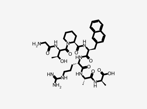 C[C@H](NC(=O)[C@H](CCCNC(=N)N)NC(=O)[C@H](Cc1ccc2ccccc2c1)NC(=O)[C@@H]1CCCCN1C(=O)[C@H](NC(=O)CN)[C@H](C)O)C(=O)N[C@H](C)C(=O)O